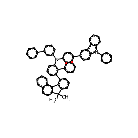 CC1(C)c2cccc(-c3cccc(N(c4ccc(-c5ccc6c(c5)c5ccccc5n6-c5ccccc5)cc4)c4cccc(-c5ccccc5)c4)c3-c3ccccc3)c2-c2c1ccc1ccccc21